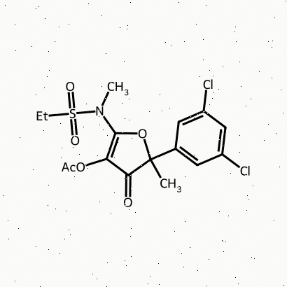 CCS(=O)(=O)N(C)C1=C(OC(C)=O)C(=O)C(C)(c2cc(Cl)cc(Cl)c2)O1